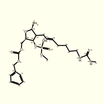 B[C@@H]1O[C@H](COC(=O)OCc2ccccc2)[C@H](OP(O)(=S)OC)C1C/C=C/CCCCNC(=S)NC